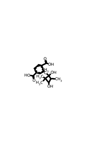 CC1C(O)C(C)(C)C1(C)O.O=C(O)c1ccc(C(=O)O)cc1